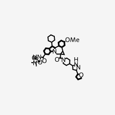 COc1ccc2c(c1)C1CC1(C(=O)N1CCC(C3CC(c4ccco4)=NN3)CC1)Cn1c-2c(C2CCCCC2)c2ccc(C(=O)NS(=O)(=O)N(C)C)cc21